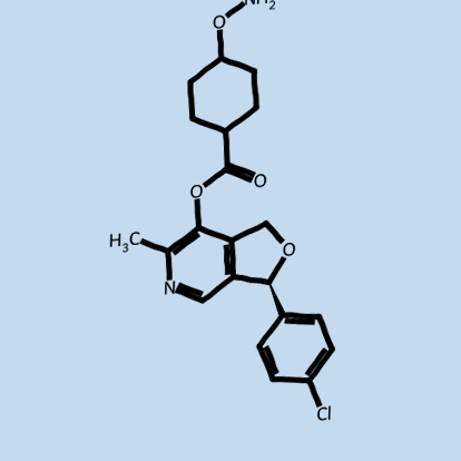 Cc1ncc2c(c1OC(=O)C1CCC(ON)CC1)CO[C@H]2c1ccc(Cl)cc1